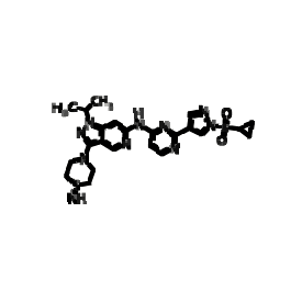 CC(C)n1nc(N2CCS(=N)CC2)c2cnc(Nc3ccnc(-c4cnn(S(=O)(=O)C5CC5)c4)n3)cc21